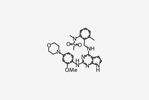 COc1cc(N2CCOCC2)ccc1Nc1nc(NCc2c(C)cccc2N(C)S(C)(=O)=O)c2cc[nH]c2n1